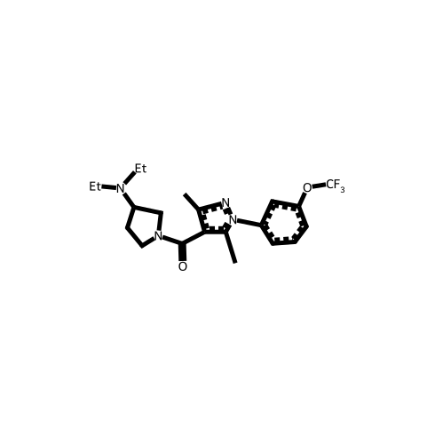 CCN(CC)C1CCN(C(=O)c2c(C)nn(-c3cccc(OC(F)(F)F)c3)c2C)C1